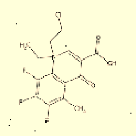 CC[N+]1(CCCl)C=C(C(=O)O)C(=O)c2c(C)c(F)c(F)c(F)c21